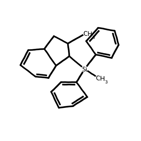 CC1CC2C=CC=CC2C1[Si](C)(c1ccccc1)c1ccccc1